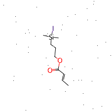 CC=CC(=O)OCCC[Si](C)(C)I